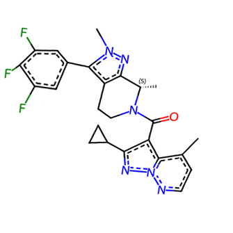 Cc1ccnn2nc(C3CC3)c(C(=O)N3CCc4c(nn(C)c4-c4cc(F)c(F)c(F)c4)[C@@H]3C)c12